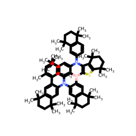 Cc1cc(C)c(-c2cc3c(cc2N2c4cc5c(cc4B4c6sc7c(c6N(c6ccc8c(c6)C(C)(C)CCC8(C)C)c6cc(C(C)(C)C)cc2c64)C(C)(C)CCC7(C)C)C(C)(C)CCC5(C)C)C(C)(C)CCC3(C)C)c(C)c1